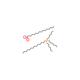 CCCCCCCCCCCCCCCC(=O)[O-].CCCCCCCCCCCCCC[P+](CCCCCC)(CCCCCC)CCCCCC